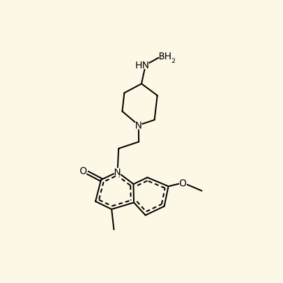 BNC1CCN(CCn2c(=O)cc(C)c3ccc(OC)cc32)CC1